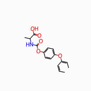 C/C=C\C(=C/C)Oc1ccc(OC(=O)NC(C)C(=O)O)cc1